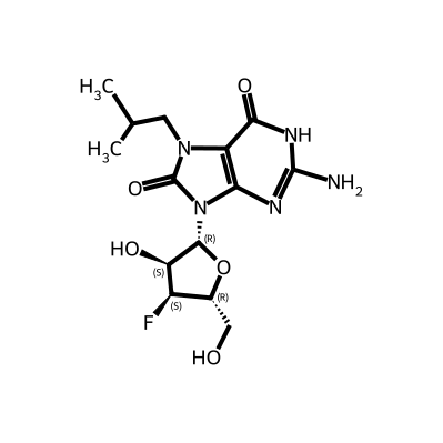 CC(C)Cn1c(=O)n([C@@H]2O[C@H](CO)[C@@H](F)[C@H]2O)c2nc(N)[nH]c(=O)c21